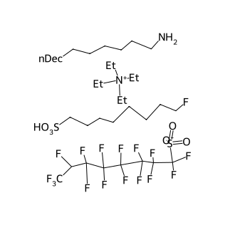 CCCCCCCCCCCCCCCCN.CC[N+](CC)(CC)CC.O=S(=O)(O)CCCCCCCCF.O=S(=O)([O-])C(F)(F)C(F)(F)C(F)(F)C(F)(F)C(F)(F)C(F)(F)C(F)C(F)(F)F